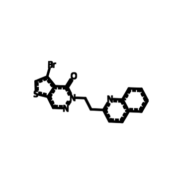 O=c1c2c(Br)csc2cnn1CCc1ccc2ccccc2n1